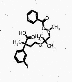 CN(CC(C)(C)OCCC(C)(C(=O)O)c1cccc(I)c1)OC(=O)c1ccccc1